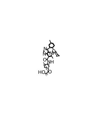 Cc1ccc(OCC2CC2)c(-c2ncnc3c(C(=O)N[C@@H]4CN(C(=O)[C@H](C)O)C[C@H]4C)c(C)[nH]c23)c1